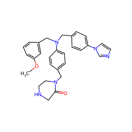 COc1cccc(CN(Cc2ccc(-n3ccnc3)cc2)c2ccc(CN3CCNCC3=O)cc2)c1